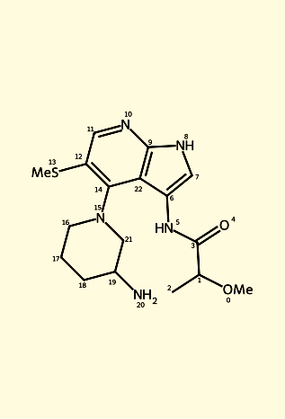 COC(C)C(=O)Nc1c[nH]c2ncc(SC)c(N3CCCC(N)C3)c12